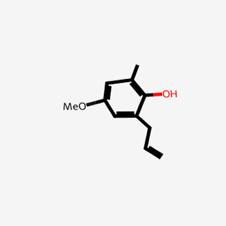 C=CCc1cc(OC)cc(C)c1O